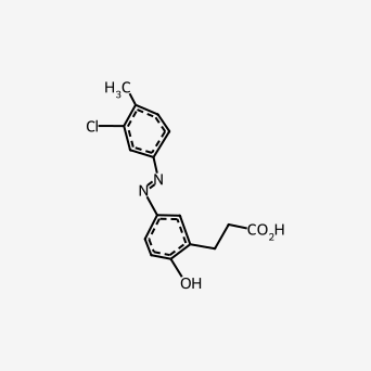 Cc1ccc(/N=N/c2ccc(O)c(CCC(=O)O)c2)cc1Cl